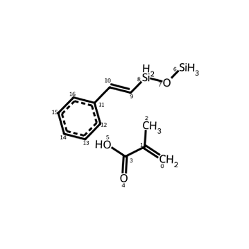 C=C(C)C(=O)O.[SiH3]O[SiH2]C=Cc1ccccc1